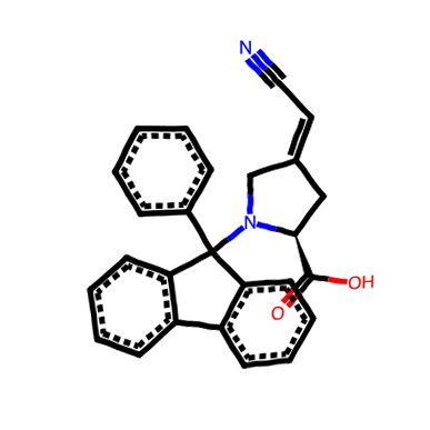 N#CC=C1C[C@@H](C(=O)O)N(C2(c3ccccc3)c3ccccc3-c3ccccc32)C1